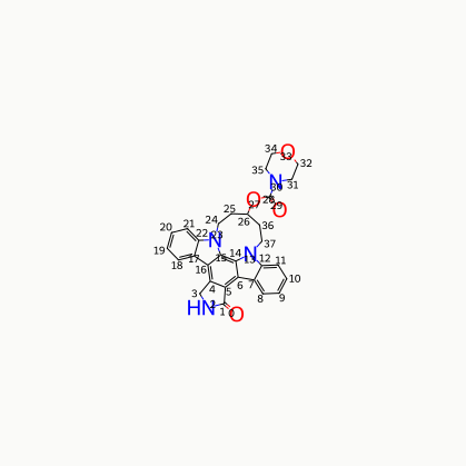 O=C1NCc2c1c1c3ccccc3n3c1c1c2c2ccccc2n1CCC(OC(=O)N1CCOCC1)CC3